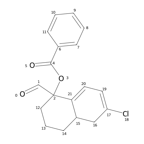 O=CC1(OC(=O)c2ccccc2)CCCC2CC(Cl)=CC=C21